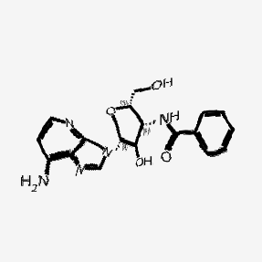 Nc1ccnc2c1ncn2[C@@H]1O[C@H](CO)[C@H](NC(=O)c2ccccc2)C1O